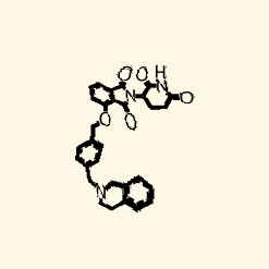 O=C1CCC(N2C(=O)c3cccc(OCc4ccc(CN5CCc6ccccc6C5)cc4)c3C2=O)C(=O)N1